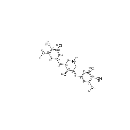 COc1cc(/C=C2\CN(C)C/C(=C\c3cc(Cl)c(O)c(OC)c3)C2=O)cc(Cl)c1O